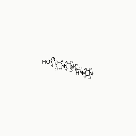 O=C(O)CC1CCC(N2CCN(CCCNc3ccncc3)CC2)CC1